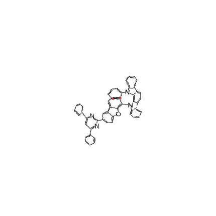 c1ccc(-c2cc(-c3ccccc3)nc(-c3ccc4oc5c(-n6c7ccccc7c7ccc8c9ccccc9n(-c9ccccc9)c8c76)cccc5c4c3)n2)cc1